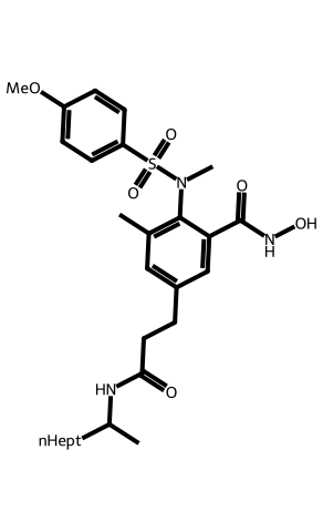 CCCCCCCC(C)NC(=O)CCc1cc(C)c(N(C)S(=O)(=O)c2ccc(OC)cc2)c(C(=O)NO)c1